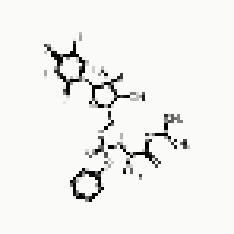 CC(C)OC(=O)[C@@H](C)NP(=O)(OC[C@H]1O[C@@H](n2cc(Cl)c(=O)[nH]c2=O)[C@](C)(F)[C@@H]1O)Oc1ccccc1